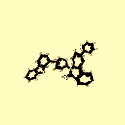 O=c1c2ccccc2c2cc(-c3ccccc3)ccc2n1-c1ccc(-c2cccc3c2oc2ccccc23)cc1